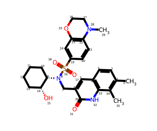 Cc1ccc2cc(CN([C@H]3CCCC[C@H]3O)S(=O)(=O)c3ccc4c(c3)OCCN4C)c(=O)[nH]c2c1C